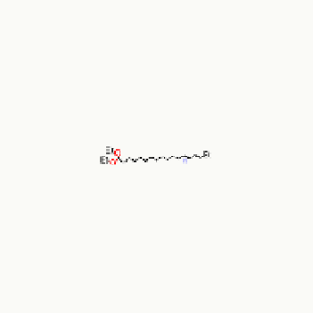 CCC=C/C=C/CCCCCCCCCCCC(OCC)OCC